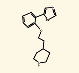 c1ccc(-c2cnc[nH]2)c(OCCC2CCNCC2)c1